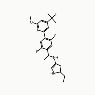 CCC1CC(NC(C)c2cc(F)c(-c3cc(C(C)(C)F)cc(OC)n3)cc2F)=CN1